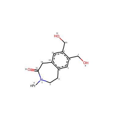 CCCN1CCc2cc(CO)c(CO)cc2CC1=O